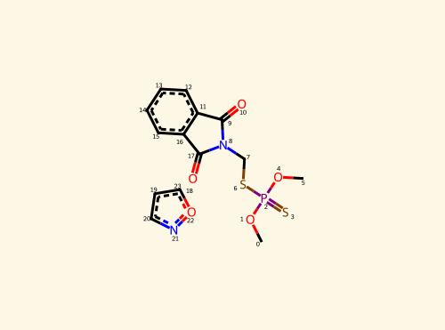 COP(=S)(OC)SCN1C(=O)c2ccccc2C1=O.c1cnoc1